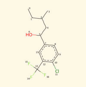 CCC(C)CC(O)c1ccc(Cl)c(C(F)(F)F)c1